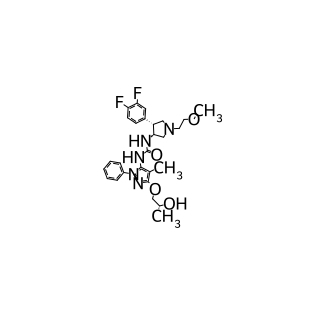 COCCN1C[C@@H](NC(=O)Nc2c(C)c(OC[C@@H](C)O)nn2-c2ccccc2)[C@H](c2ccc(F)c(F)c2)C1